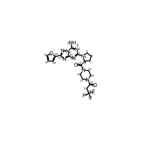 Nc1nc(N2CCC[C@H]2C(=O)N2CCN(C(=O)CC(F)(F)F)CC2)nc2nc(-c3ccco3)nn12